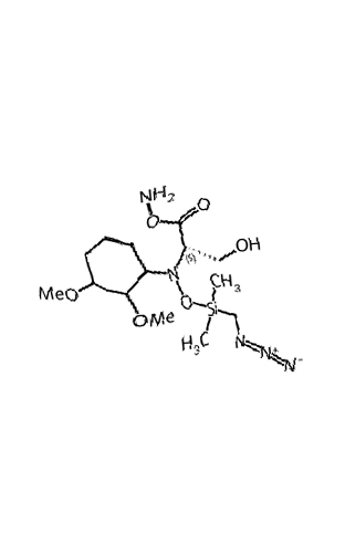 COC1CCCC(N(O[Si](C)(C)CN=[N+]=[N-])[C@@H](CO)C(=O)ON)C1OC